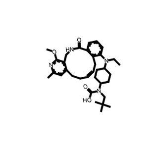 CCN(c1cccc2c1CC=CCCc1cc(C)nc(OC)c1CNC2=O)C1CCC(N(CC(C)(C)C)C(=O)O)CC1